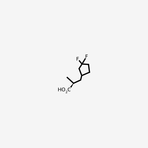 C[C@@H](CC1CCC(F)(F)C1)C(=O)O